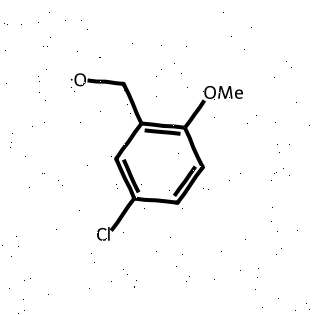 COc1ccc(Cl)cc1C[O]